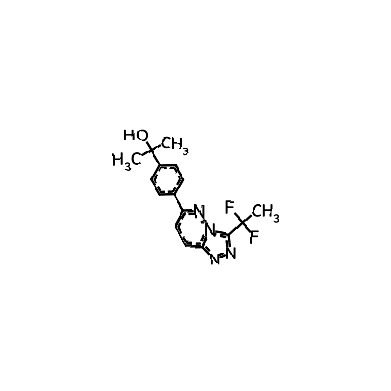 CC(C)(O)c1ccc(-c2ccc3nnc(C(C)(F)F)n3n2)cc1